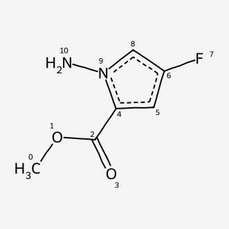 COC(=O)c1cc(F)cn1N